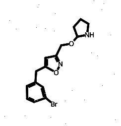 Brc1cccc(Cc2cc(COC3CCCN3)no2)c1